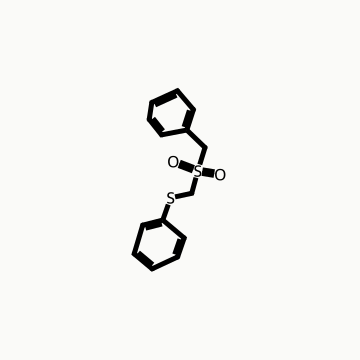 O=S(=O)(CSc1ccccc1)Cc1ccccc1